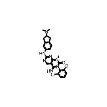 CN(C)C1Cc2ccc(Nc3ncc4c(=N)n(-c5c(Cl)cccc5Cl)c(=O)n(C)c4n3)cc2C1